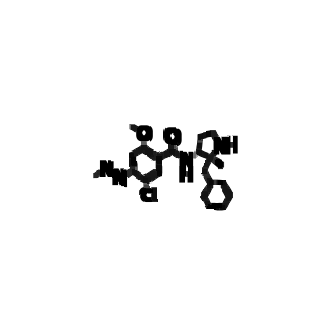 CN=Nc1cc(OC)c(C(=O)N[C@@H]2CCN[C@]2(C)Cc2ccccc2)cc1Cl